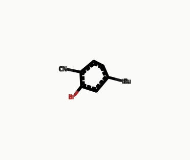 [C-]#[N+]c1ccc(C(C)(C)C)cc1Br